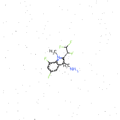 Cc1c(C(F)C(F)F)n(C)c2c(F)cc(F)cc12.N